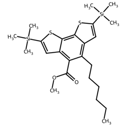 CCCCCCc1c(C(=O)OC)c2cc([Si](C)(C)C)sc2c2sc([Si](C)(C)C)cc12